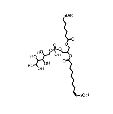 CCCCCCCC/C=C\CCCCCCCC(=O)OC(COC(=O)CCCCCCCCCCCCCCC)COP(=O)(O)OCC(O)C(O)C(O)C(O)C(C)=O